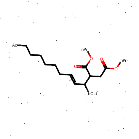 CCCCCCCCC(/C=C/CCCCCCC(C)=O)C(CC(=O)OCCC)C(=O)OCCC